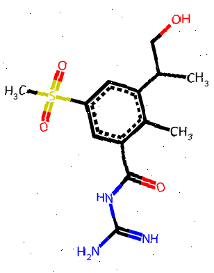 Cc1c(C(=O)NC(=N)N)cc(S(C)(=O)=O)cc1C(C)CO